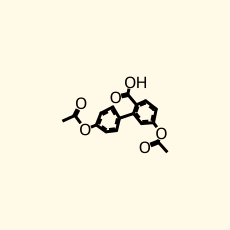 CC(=O)Oc1ccc(-c2cc(OC(C)=O)ccc2C(=O)O)cc1